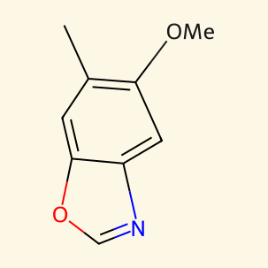 COc1cc2ncoc2cc1C